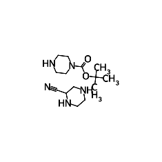 CC(C)(C)OC(=O)N1CCNCC1.N#CC1CNCCN1